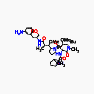 CC[C@H](C)C([C@@H](CC(=O)N1CCC[C@H]1[C@H](OC)[C@@H](C)C(=O)N[C@H](CO)Cc1cccc(N)c1)OC)N(C)C(=O)[C@@H](NC(=O)[C@H]1NC2CCC1[C@@H]2C)C(C)C